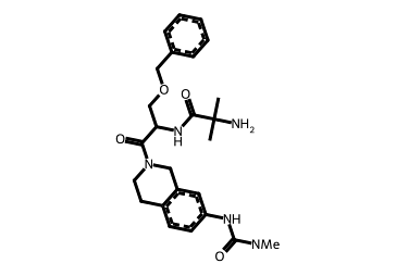 CNC(=O)Nc1ccc2c(c1)CN(C(=O)C(COCc1ccccc1)NC(=O)C(C)(C)N)CC2